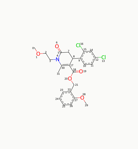 COCCN1C(=O)CC(c2ccc(Cl)cc2Cl)C(C(=O)OCc2ccccc2OC)=C1C